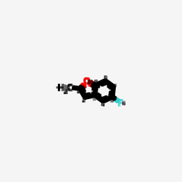 [CH2]c1cc2cc(F)ccc2o1